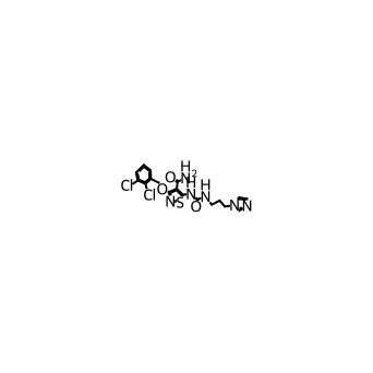 NC(=O)c1c(OCc2cccc(Cl)c2Cl)nsc1NC(=O)NCCCn1ccnc1